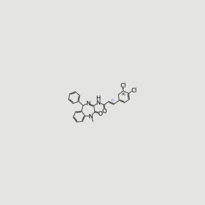 CN1C(=O)C(NC(=O)/C=C/C2=CC=C(Cl)[C@H](Cl)C2)=NC(c2ccccc2)c2ccccc21